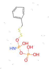 N=P(O)(OSSCc1ccccc1)OP(=O)(O)O